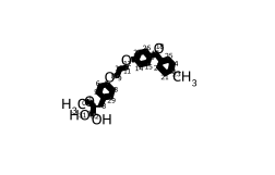 CO[C@@H](Cc1ccc(OCCCOc2ccc(C(=O)c3ccc(C)cc3)cc2)cc1)C(O)O